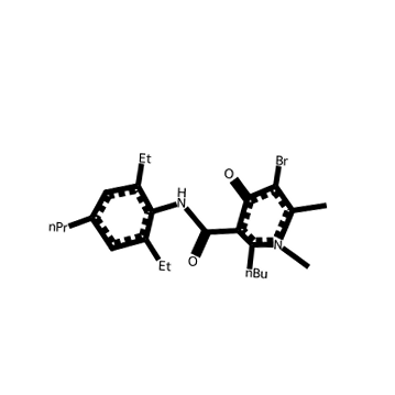 CCCCc1c(C(=O)Nc2c(CC)cc(CCC)cc2CC)c(=O)c(Br)c(C)n1C